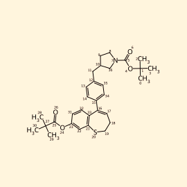 CC(C)(C)OC(=O)N1CCC(Cc2ccc(C3=CCCSc4cc(OC(=O)C(C)(C)C)ccc43)cc2)C1